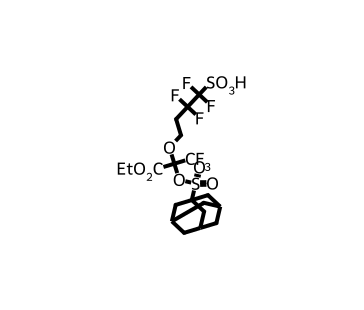 CCOC(=O)C(OCCC(F)(F)C(F)(F)S(=O)(=O)O)(OS(=O)(=O)C12CC3CC(CC(C3)C1)C2)C(F)(F)F